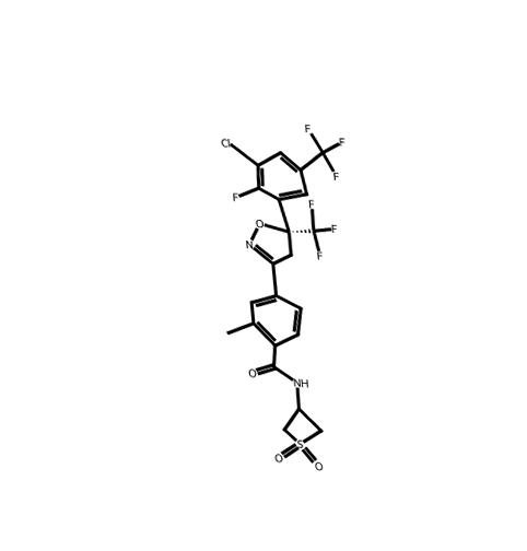 Cc1cc(C2=NO[C@](c3cc(C(F)(F)F)cc(Cl)c3F)(C(F)(F)F)C2)ccc1C(=O)NC1CS(=O)(=O)C1